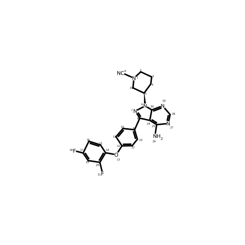 N#CN1CCC[C@@H](n2nc(-c3ccc(Oc4ccc(F)cc4F)cc3)c3c(N)ncnc32)C1